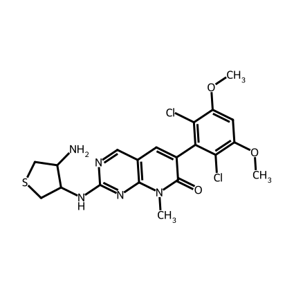 COc1cc(OC)c(Cl)c(-c2cc3cnc(NC4CSCC4N)nc3n(C)c2=O)c1Cl